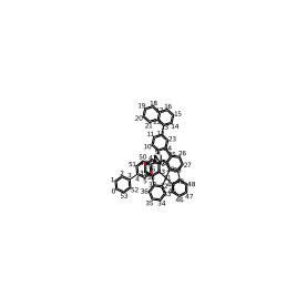 c1ccc(-c2ccc(-n3c4ccc(-c5cccc6ccccc56)cc4c4ccc5c(c43)C3(c4ccccc4-c4ccccc43)c3ccccc3-5)cc2)cc1